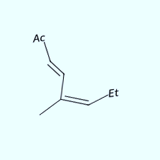 CCC=C(C)C=CC(C)=O